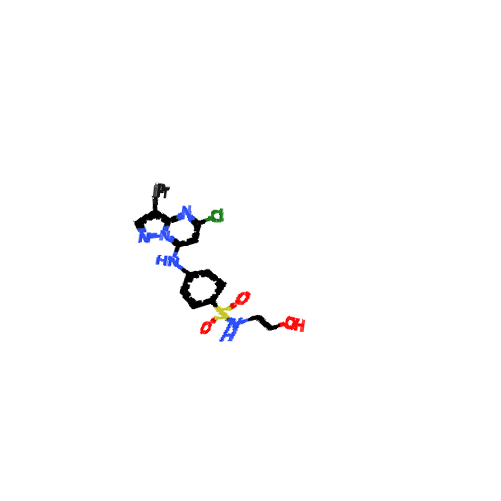 CC(C)c1cnn2c(Nc3ccc(S(=O)(=O)NCCO)cc3)cc(Cl)nc12